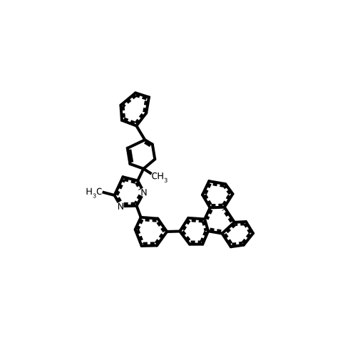 Cc1cc(C2(C)C=CC(c3ccccc3)=CC2)nc(-c2cccc(-c3ccc4c5ccccc5c5ccccc5c4c3)c2)n1